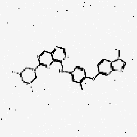 Cc1cc(Nc2ncnc3cnc(N4C[C@@H](C)O[C@@H](C)C4)nc23)ccc1Oc1ccc2c(c1)ncn2C